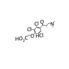 CN(C)CCC(=O)c1ccc(OCC(=O)O)c(Cl)c1Cl.Cl